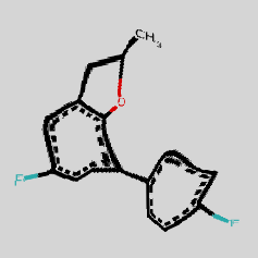 CC1Cc2cc(F)cc(-c3ccc(F)cc3)c2O1